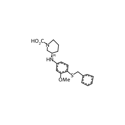 COc1cc(N[C@@H]2CCCN(C(=O)O)C2)ccc1SCc1ccccc1